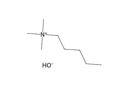 CCCCC[N+](C)(C)C.[OH-]